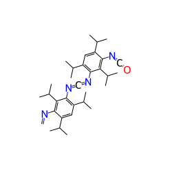 C=Nc1c(C(C)C)cc(C(C)C)c(N=C=Nc2c(C(C)C)cc(C(C)C)c(N=C=O)c2C(C)C)c1C(C)C